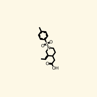 CC=C1CN(S(=O)(=O)c2ccc(C)cc2)CCC1CC(=O)O